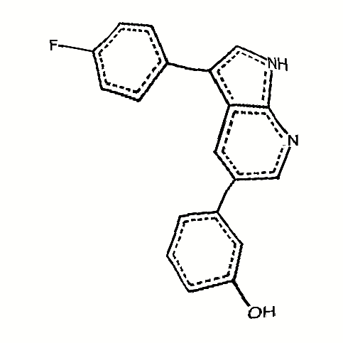 Oc1cccc(-c2cnc3[nH]cc(-c4ccc(F)cc4)c3c2)c1